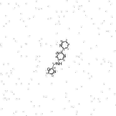 c1ccc(-c2ncc(NCc3ncco3)cn2)nc1